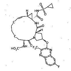 O=C(O)N[C@H]1CCCCCC=C[C@@H]2C[C@@]2(C(=O)NS(=O)(=O)C2CC2)NC(=O)[C@@H]2C[C@@H](Oc3nc4cc(F)ccc4nc3C(F)(F)F)CN2C1=O